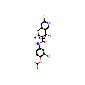 O=C(Nc1ccc(OC(F)F)c(Cl)c1)C1[C@H]2CC[C@H]1c1c[nH]c(=O)cc1C2